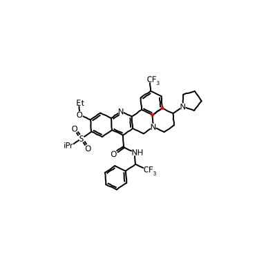 CCOc1cc2nc(-c3cccc(C(F)(F)F)c3)c(CN3CCC(N4CCCC4)CC3)c(C(=O)NC(c3ccccc3)C(F)(F)F)c2cc1S(=O)(=O)C(C)C